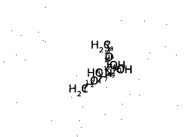 C=CCOCC(O)CN(CCO)CC(O)COCC=C